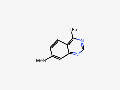 CNc1ccc2c(C(C)(C)C)ncnc2c1